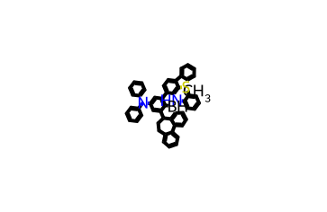 Cc1ccccc1Nc1c(-c2cc(N(c3ccccc3)c3ccccc3)cc3c2Bc2cccc4c2C3CCc2ccccc2-4)ccc2c1sc1ccccc12